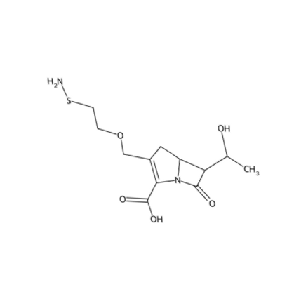 CC(O)C1C(=O)N2C(C(=O)O)=C(COCCSN)CC12